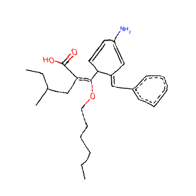 CCCCCCOC(=C(CC(C)CC)C(=O)O)C1C=CC(N)=CC1=Cc1ccccc1